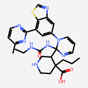 CCCC1(C(=O)O)CCNCC1C1(NC(=O)NCC)N=CC=CN1c1cc(-c2nccc(C)n2)c2scnc2c1